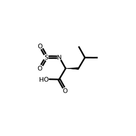 CC(C)C[C@H](N=S(=O)=O)C(=O)O